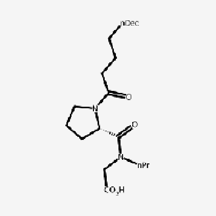 CCCCCCCCCCCCCC(=O)N1CCC[C@H]1C(=O)N(CCC)CC(=O)O